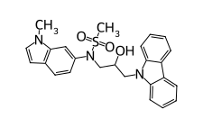 Cn1ccc2ccc(N(CC(O)Cn3c4ccccc4c4ccccc43)S(C)(=O)=O)cc21